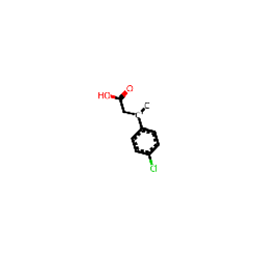 [CH2-][C+](CC(=O)O)c1ccc(Cl)cc1